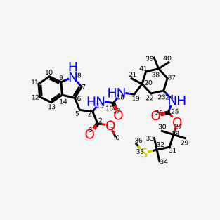 COC(=O)C(Cc1c[nH]c2ccccc12)NC(=O)NCC1(C)CC(NC(=O)OC(C)(C)CC(C)(C)SC)CC(C)(C)C1